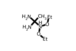 CCO[SiH](OCC)C(C)(N)N